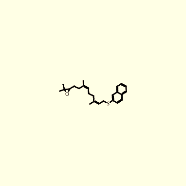 CC(=CCSc1ccc2ccccc2c1)CCC=C(C)CCC1OC1(C)C